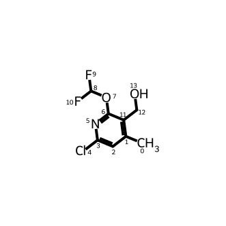 Cc1cc(Cl)nc(OC(F)F)c1CO